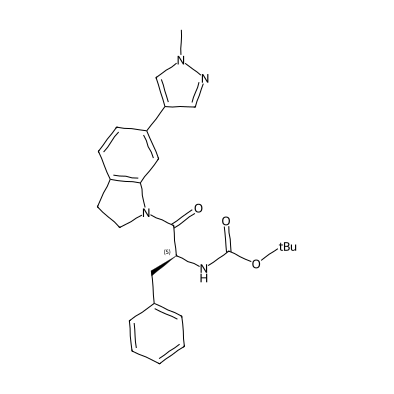 Cn1cc(-c2ccc3c(c2)N(C(=O)[C@H](Cc2ccccc2)NC(=O)OC(C)(C)C)CC3)cn1